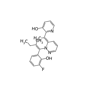 CC/C(C)=C(\c1cccc(F)c1O)N1N=CC=C/C1=C(/C)c1ncccc1O